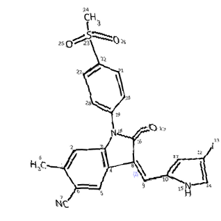 Cc1cc2c(cc1C#N)/C(=C/c1cc(I)c[nH]1)C(=O)N2c1ccc(S(C)(=O)=O)cc1